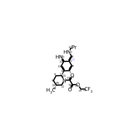 CC(C)N/C=C1/C=CC([C@@H]2CC[C@@H](C)CN2C(=O)C(=O)OCC(F)(F)F)=CC1=N